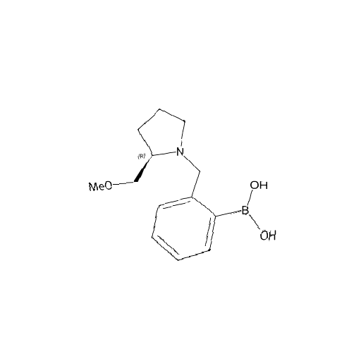 COC[C@H]1CCCN1Cc1ccccc1B(O)O